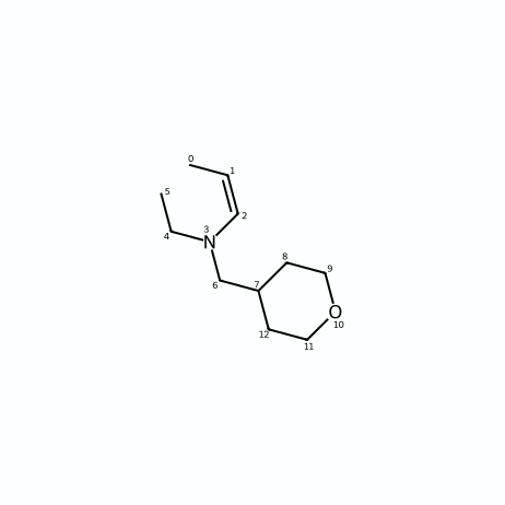 C/C=C\N(CC)CC1CCOCC1